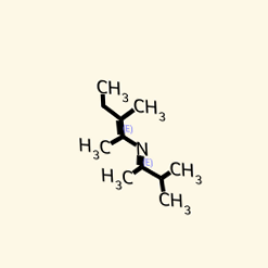 CC/C(C)=C(C)/N=C(\C)C(C)C